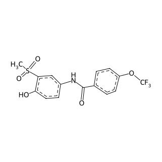 CS(=O)(=O)c1cc(NC(=O)c2ccc(OC(F)(F)F)cc2)ccc1O